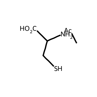 CC(C)=O.NC(CS)C(=O)O